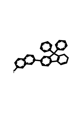 Ic1ccc2ccc(-c3ccc4c(c3)C(c3ccccc3)(c3ccccc3)C3=C4C=CCC3)cc2c1